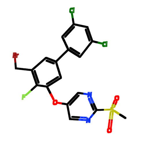 CS(=O)(=O)c1ncc(Oc2cc(-c3cc(Cl)cc(Cl)c3)cc(CBr)c2F)cn1